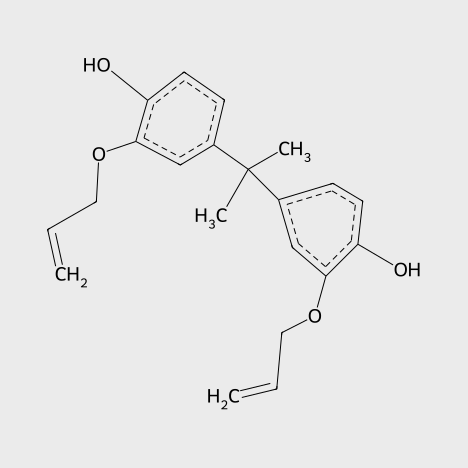 C=CCOc1cc(C(C)(C)c2ccc(O)c(OCC=C)c2)ccc1O